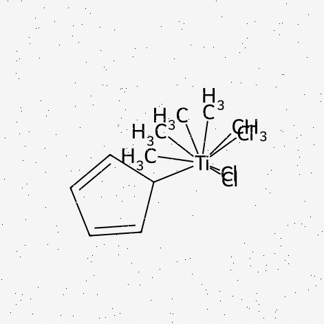 [CH3][Ti]([CH3])([CH3])([CH3])([CH3])([Cl])([Cl])([Cl])[CH]1C=CC=C1